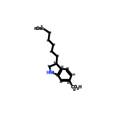 CCCCCCCCCCCCCCCC1CNc2cc(C(=O)O)ccc21